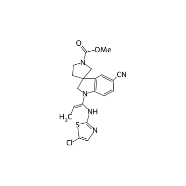 CC=C(Nc1ncc(Cl)s1)N1CC2(CCN(C(=O)OC)C2)c2cc(C#N)ccc21